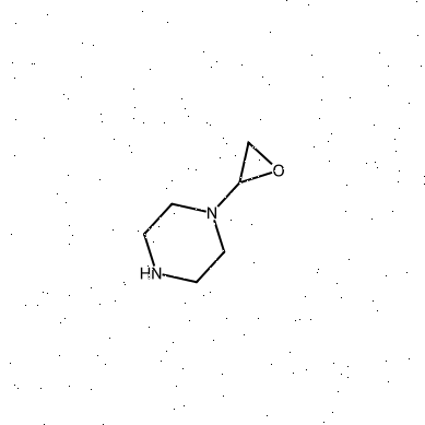 C1CN(C2CO2)CCN1